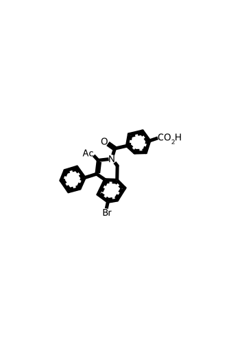 CC(=O)C1=C(c2ccccc2)c2cc(Br)ccc2CN1C(=O)c1ccc(C(=O)O)cc1